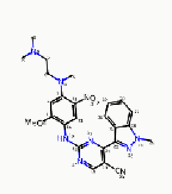 COc1cc(N(C)CCN(C)C)c([N+](=O)[O-])cc1Nc1ncc(C#N)c(-c2nn(C)c3ccccc23)n1